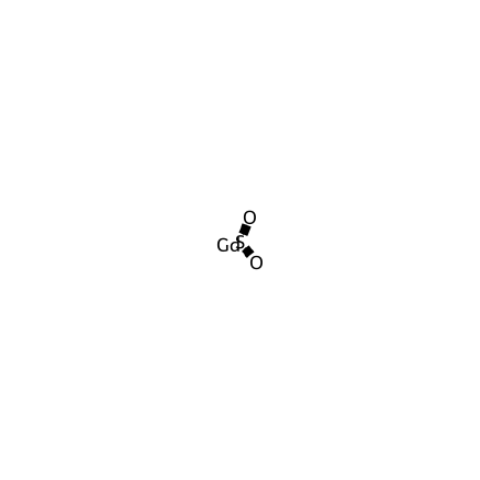 O=S=O.[Gd]